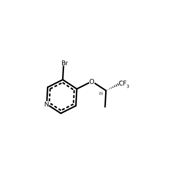 C[C@H](Oc1ccncc1Br)C(F)(F)F